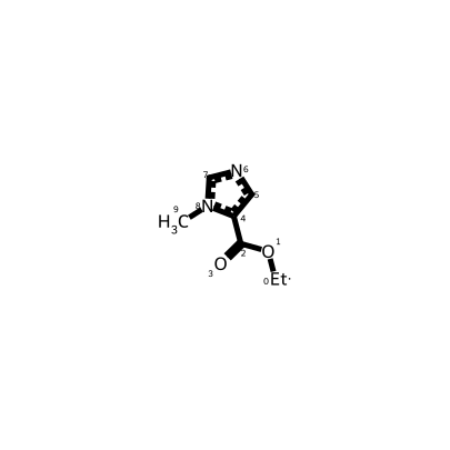 C[CH]OC(=O)c1cncn1C